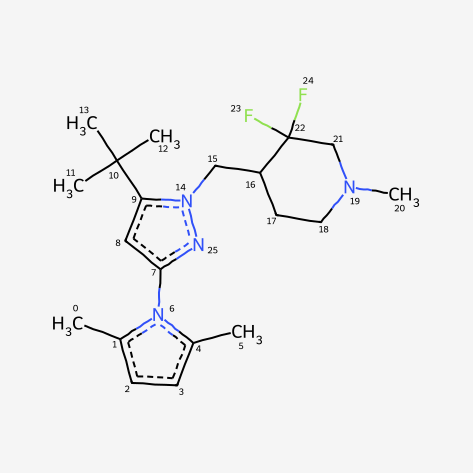 Cc1ccc(C)n1-c1cc(C(C)(C)C)n(CC2CCN(C)CC2(F)F)n1